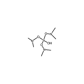 CN(C)O[Si](O)(ON(C)C)ON(C)C